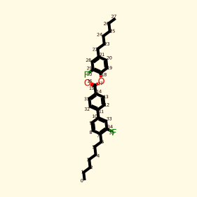 CCCCCCCc1ccc(-c2ccc(C(=O)Oc3ccc(CCCCCC)cc3F)cc2)cc1F